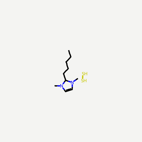 CCCCCC1N(C)C=CN1C.SS